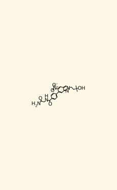 CC(C)(O)CCn1cc2cc([N+](=O)[O-])c(-c3ccc(C(=O)NCC(N)=O)cc3)cc2n1